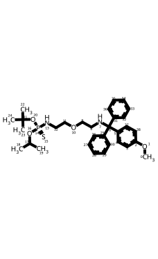 COc1ccc(C(NCCOCCNP(=S)(OC(C)C)OC(C)(C)C)(c2ccccc2)c2ccccc2)cc1